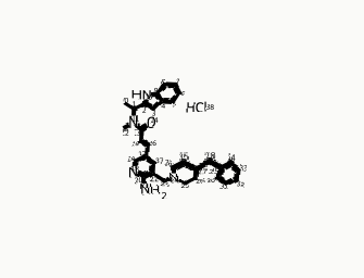 CC(c1cc2ccccc2[nH]1)N(C)C(=O)/C=C/c1cnc(N)c(CN2CCC(Cc3ccccc3)CC2)c1.Cl